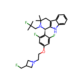 CC(C)(F)CN1[C@H](c2c(F)cc(OCCN3CC(CF)C3)cc2F)c2[nH]c3ccccc3c2CC1(C)C